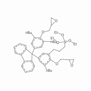 CCCCc1cc(C2(c3cc(CCCC)c(OCC4CO4)c(CCC[Si](OCC)(OCC)OCC)c3)c3ccccc3-c3ccccc32)cc(CCCC)c1OCC1CO1